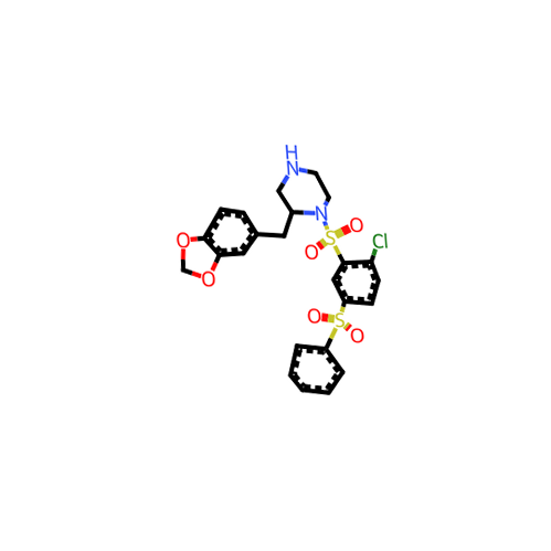 O=S(=O)(c1ccccc1)c1ccc(Cl)c(S(=O)(=O)N2CCNCC2Cc2ccc3c(c2)OCO3)c1